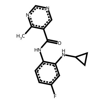 Cc1ncncc1C(=O)Nc1ccc(F)cc1NC1CC1